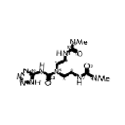 CNC(=O)NCCN(CCNC(=O)NC)C(=O)Nc1nnn[nH]1